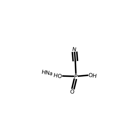 N#CP(=O)(O)O.[NaH]